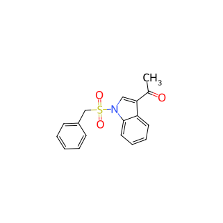 CC(=O)c1cn(S(=O)(=O)Cc2ccccc2)c2ccccc12